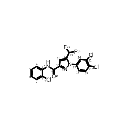 O=C(Nc1ccccc1Cl)c1cc(C(F)F)n(-c2ccc(Cl)c(Cl)c2)n1